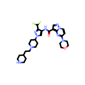 O=C(Nc1cn(C2CCN(CCC3CCNCC3)CC2)nc1C(F)F)c1cnn2ccc(N3CCOCC3)nc12